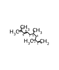 C=CC(C)CC(C)CC=CC(C)C